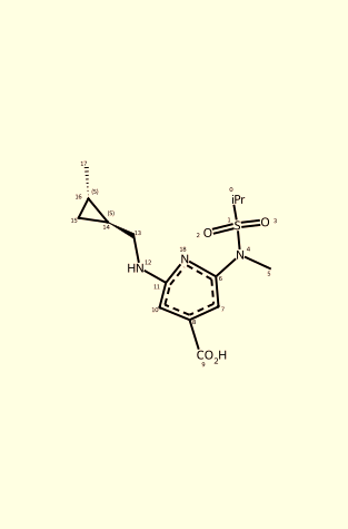 CC(C)S(=O)(=O)N(C)c1cc(C(=O)O)cc(NC[C@H]2C[C@@H]2C)n1